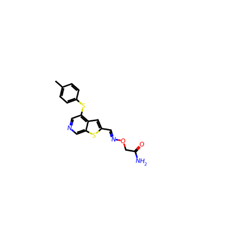 Cc1ccc(Sc2cncc3sc(C=NOCC(N)=O)cc23)cc1